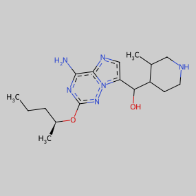 CCC[C@H](C)Oc1nc(N)c2ncc(C(O)C3CCNCC3C)n2n1